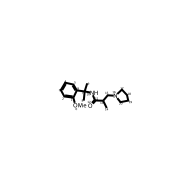 COc1ccccc1C(C)(C)NC(=O)C(C)CN1CCCC1